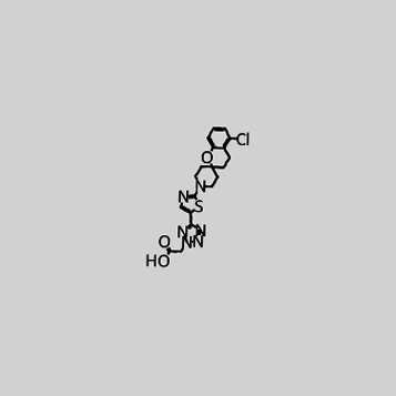 O=C(O)Cn1nnc(-c2cnc(N3CCC4(CCc5c(Cl)cccc5O4)CC3)s2)n1